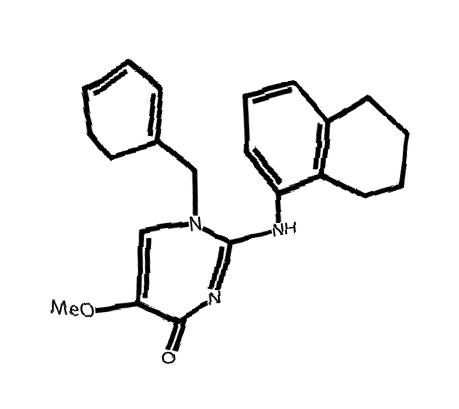 COc1cn(CC2=CC=CCC2)c(Nc2cccc3c2CCCC3)nc1=O